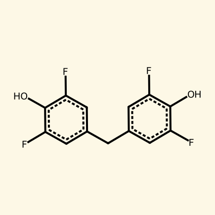 Oc1c(F)cc(Cc2cc(F)c(O)c(F)c2)cc1F